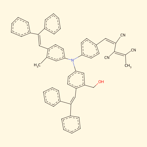 [C-]#[N+]C(/C(C#N)=C\c1ccc(N(c2ccc(C=C(c3ccccc3)c3ccccc3)c(C)c2)c2ccc(C=C(c3ccccc3)c3ccccc3)c(CO)c2)cc1)=C(\C)C#N